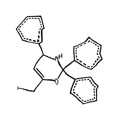 ICC1=CC(c2ccccc2)NC(c2ccccc2)(c2ccccc2)O1